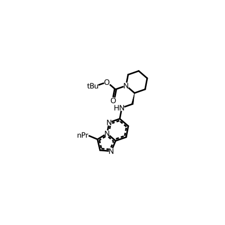 CCCc1cnc2ccc(NC[C@@H]3CCCCN3C(=O)OC(C)(C)C)nn12